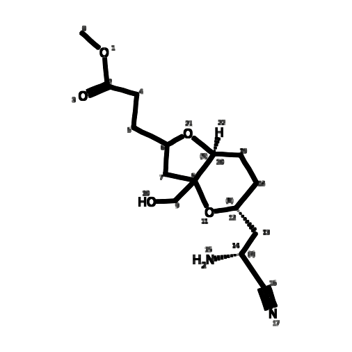 COC(=O)CCC1CC2(CO)O[C@@H](C[C@@H](N)C#N)CC[C@@H]2O1